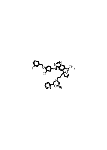 COc1cc2ncnc(Nc3ccc(OCc4cccc(F)c4)c(Cl)c3)c2cc1C1(CCCN(C=S(=O)=O)CCc2ccccn2)CC=CO1